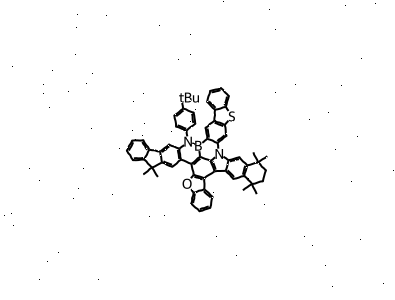 CC(C)(C)c1ccc(N2B3c4cc5c(cc4-n4c6cc7c(cc6c6c8c(oc9ccccc98)c(c3c64)-c3cc4c(cc32)-c2ccccc2C4(C)C)C(C)(C)CCC7(C)C)sc2ccccc25)cc1